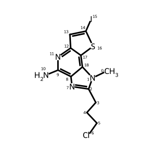 Cn1c(CCCCl)nc2c(N)nc3cc(I)sc3c21